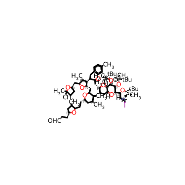 C=C1C[C@H](CCC=O)OC1CC[C@H]1C[C@@H](C)C(=C)C(C[C@@H]2OC(C[C@H]3CCC(C)(C)O3)[C@H](C)[C@H]2C(Cc2ccc(C)cc2)C(=O)C[C@H]2CC[C@@H]3O[C@@H]([C@H](/C=C/I)O[Si](C)(C)C(C)(C)C)[C@@H](O[Si](C)(C)C(C)(C)C)[C@@H](O[Si](C)(C)C(C)(C)C)[C@H]3O2)O1